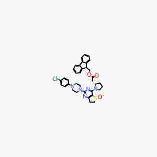 O=C(C[C@@H]1CCCN1c1nc(N2CCN(c3ccc(Cl)cc3)CC2)nc2c1[S+]([O-])CC2)OCC1c2ccccc2-c2ccccc21